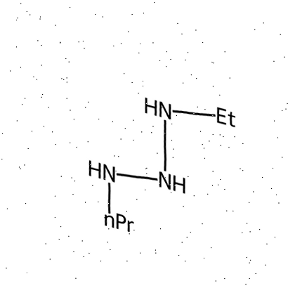 CCCNNNCC